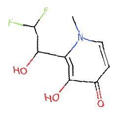 Cn1ccc(=O)c(O)c1C(O)C(F)F